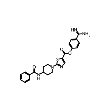 N=C(N)c1ccc(OC(=O)c2cnc(N3CCC(NC(=O)c4ccccc4)CC3)s2)cc1